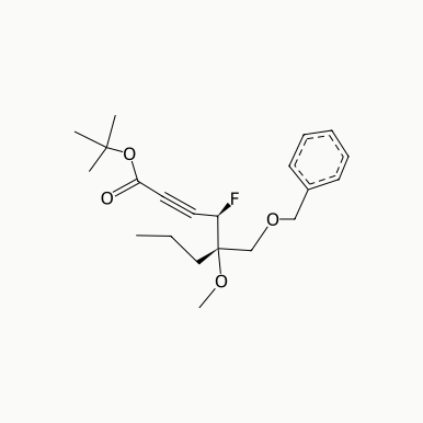 CCC[C@@](COCc1ccccc1)(OC)[C@H](F)C#CC(=O)OC(C)(C)C